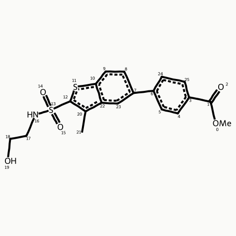 COC(=O)c1ccc(-c2ccc3sc(S(=O)(=O)NCCO)c(C)c3c2)cc1